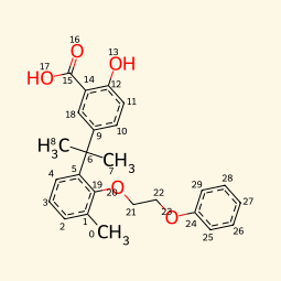 Cc1cccc(C(C)(C)c2ccc(O)c(C(=O)O)c2)c1OCCOc1ccccc1